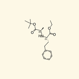 CCOC(=O)[C@H](CCc1ccccc1)N[C@H](C)C(=O)OC(C)(C)C